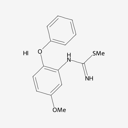 COc1ccc(Oc2ccccc2)c(NC(=N)SC)c1.I